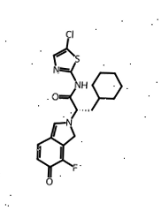 O=C1C=CC2=CN([C@@H](CC3CCCCC3)C(=O)Nc3ncc(Cl)s3)CC2=C1F